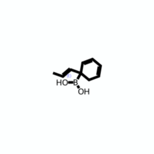 C/C=C/C1(B(O)O)C=CC=CC1